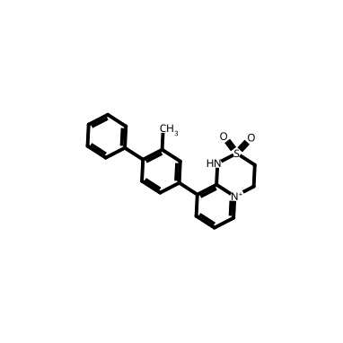 Cc1cc(-c2ccc[n+]3c2NS(=O)(=O)CC3)ccc1-c1ccccc1